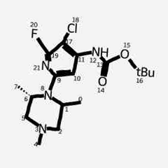 CC1CN(C)C[C@H](C)N1c1cc(NC(=O)OC(C)(C)C)c(Cl)c(F)n1